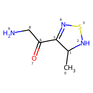 CC1NSN=C1C(=O)CN